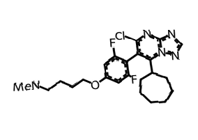 CNCCCCOc1cc(F)c(-c2c(Cl)nc3ncnn3c2C2CCCCCC2)c(F)c1